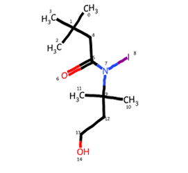 CC(C)(C)CC(=O)N(I)C(C)(C)CCO